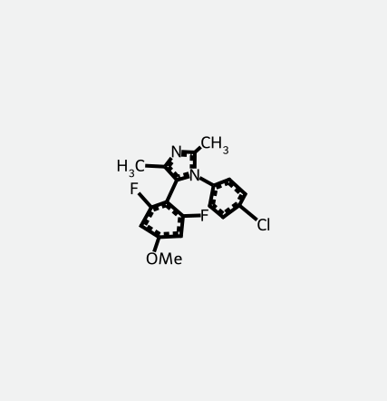 COc1cc(F)c(-c2c(C)nc(C)n2-c2ccc(Cl)cc2)c(F)c1